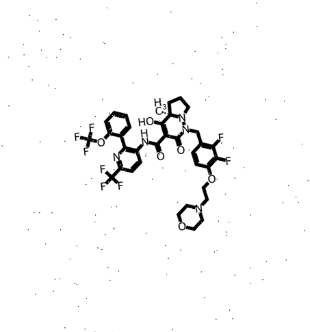 C[C@]12CCCN1N(Cc1ccc(OCCN3CCOCC3)c(F)c1F)C(=O)C(C(=O)Nc1ccc(C(F)(F)F)nc1-c1ccccc1OC(F)(F)F)=C2O